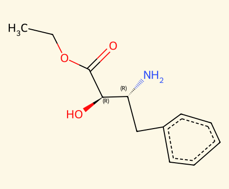 CCOC(=O)[C@H](O)[C@H](N)Cc1ccccc1